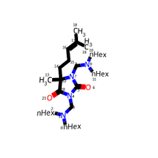 CCCCCCN(CCCCCC)CN1C(=O)N(CN(CCCCCC)CCCCCC)C(C)(CCC=C(C)C)C1=O